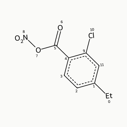 CCc1ccc(C(=O)O[N+](=O)[O-])c(Cl)c1